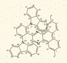 Cc1ccc2c3ccc(C)cc3c3nc(-c4c(-n5c6ccccc6c6ccccc65)cccc4-n4c5ccccc5c5ccccc54)cnc3c2c1